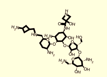 NC[C@@H]1O[C@H](O[C@H]2[C@@H](O)[C@H](O[C@@H]3[C@@H](O)[C@H](NC(=O)C4(O)CNC4)C[C@H](N)[C@H]3O[C@H]3O[C@H](CNCC4CC(N)C4)CC[C@H]3N)O[C@@H]2CO)[C@H](N)[C@@H](O)[C@@H]1O